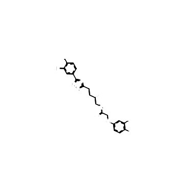 O=C(COc1ccc(Cl)c(F)c1)NC[C@H](O)CCc1nnc(-c2ccc(Cl)c(F)c2)o1